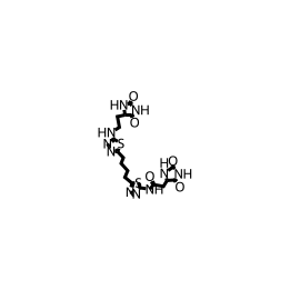 O=C(CC1NC(=O)NC1=O)Nc1nnc(CCCCc2nnc(NCCC3NC(=O)NC3=O)s2)s1